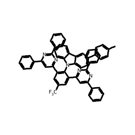 Cc1ccc(-c2ccc3c(c2)c2ccccc2n3-c2c(-c3cc(-c4ccccc4)nc(-c4ccccc4)n3)cc(C(F)(F)F)cc2-c2cc(-c3ccccc3)nc(-c3ccccc3)n2)cc1